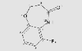 O=C1CCOc2cccc(F)c2N1